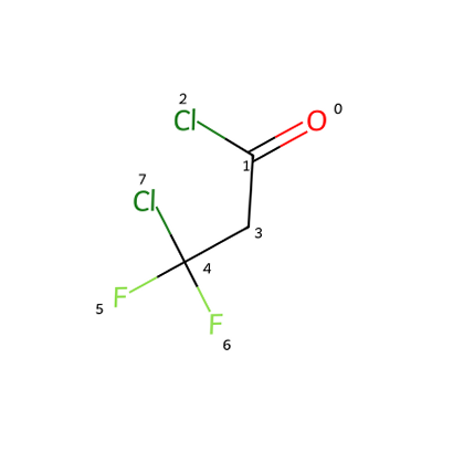 O=C(Cl)CC(F)(F)Cl